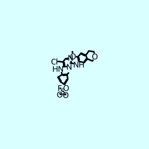 COc1cc2c(cc1Nc1ncc(Cl)c(Nc3ccc(OS(=O)(=O)F)cc3C)n1)COCC2